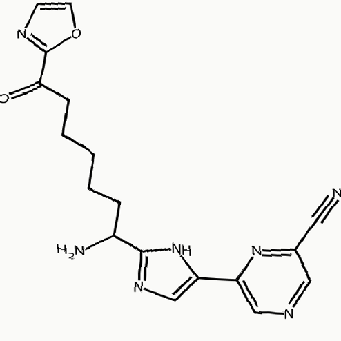 N#Cc1cncc(-c2cnc(C(N)CCCCCC(=O)c3ncco3)[nH]2)n1